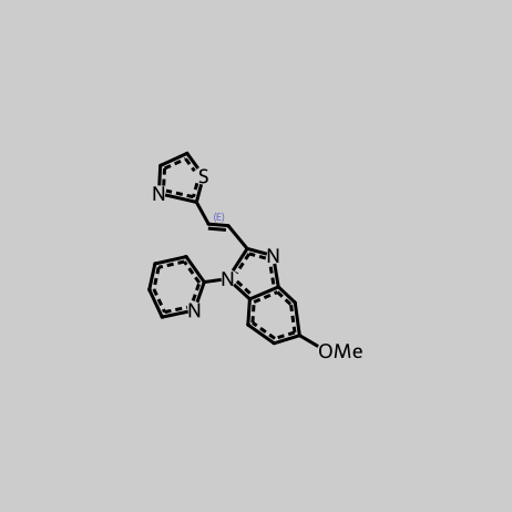 COc1ccc2c(c1)nc(/C=C/c1nccs1)n2-c1ccccn1